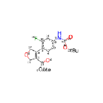 COC(=O)C1=C(c2ccc(NC(=O)OC(C)(C)C)cc2F)COC1